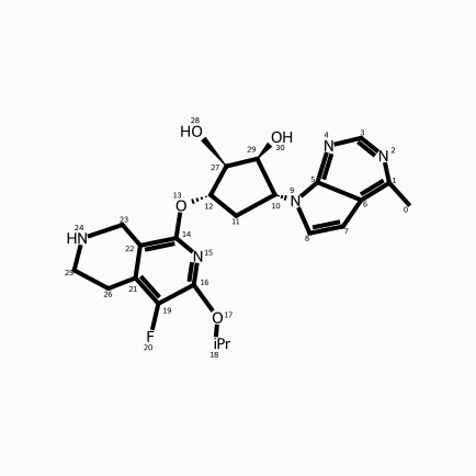 Cc1ncnc2c1ccn2[C@@H]1C[C@H](Oc2nc(OC(C)C)c(F)c3c2CNCC3)[C@@H](O)[C@H]1O